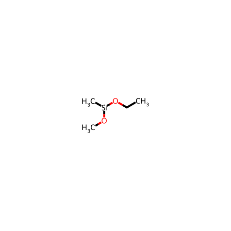 CCO[Si](C)OC